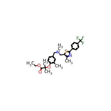 CCOC(=O)C(C)(C)Oc1ccc(CN(C)Cc2sc(-c3ccc(C(F)(F)F)cc3)nc2C)cc1C